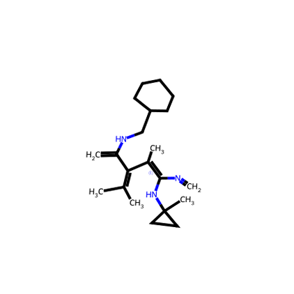 C=N/C(NC1(C)CC1)=C(\C)C(C(=C)NCC1CCCCC1)=C(C)C